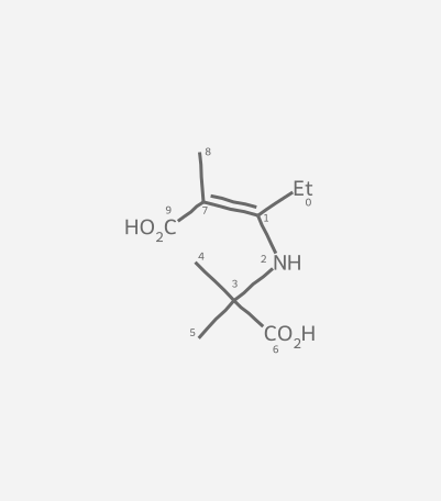 CCC(NC(C)(C)C(=O)O)=C(C)C(=O)O